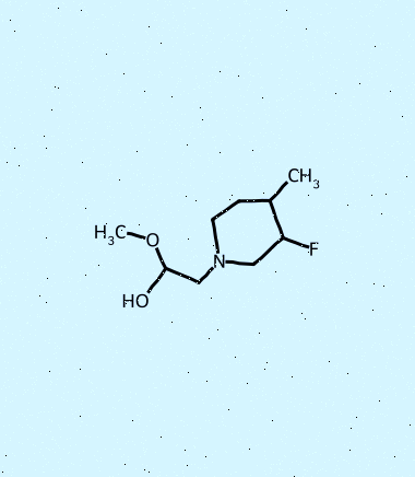 COC(O)CN1CCC(C)C(F)C1